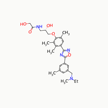 CCN(C)Cc1cc(C)cc(-c2nc(-c3cc(C)c(OC[C@@H](O)CNC(=O)CO)c(C)c3C)no2)c1